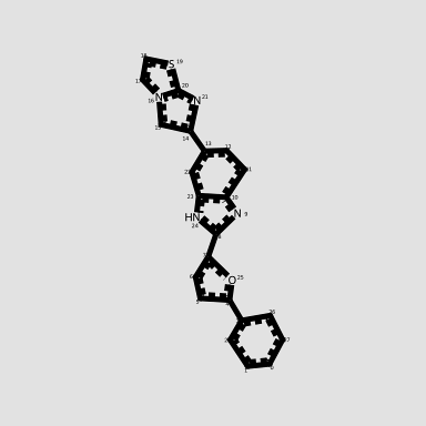 c1ccc(-c2ccc(-c3nc4ccc(-c5cn6ccsc6n5)cc4[nH]3)o2)cc1